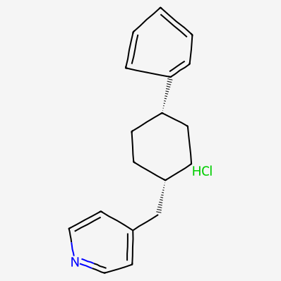 Cl.c1ccc([C@H]2CC[C@@H](Cc3ccncc3)CC2)cc1